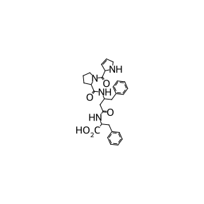 O=C(CC(Cc1ccccc1)NC(=O)C1CCCN1C(=O)C1C=CCN1)NC(Cc1ccccc1)C(=O)O